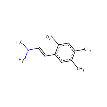 Cc1cc(/C=C/N(C)C)c([N+](=O)[O-])cc1C